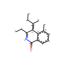 CCC1=NC(=O)c2cccc(C)c2/C1=C(\C)CC